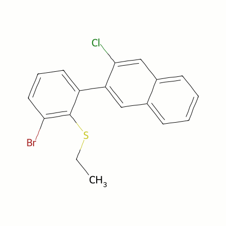 CCSc1c(Br)cccc1-c1cc2ccccc2cc1Cl